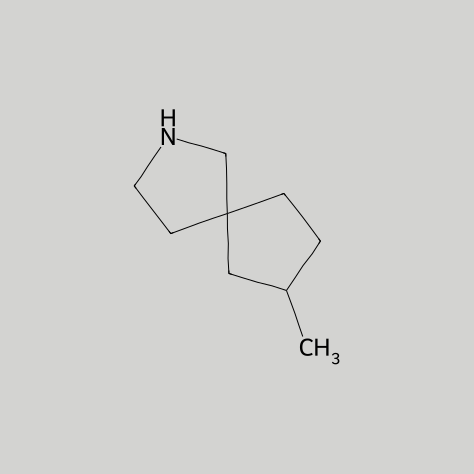 CC1CCC2(CCNC2)C1